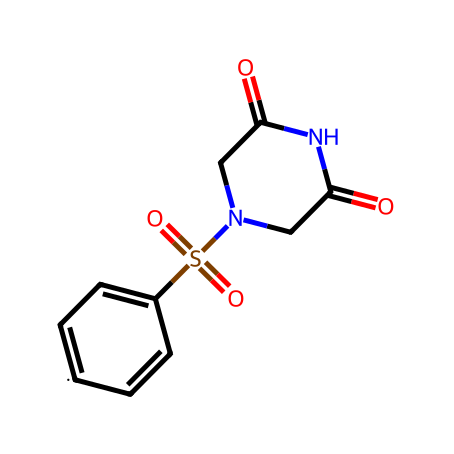 O=C1CN(S(=O)(=O)c2cc[c]cc2)CC(=O)N1